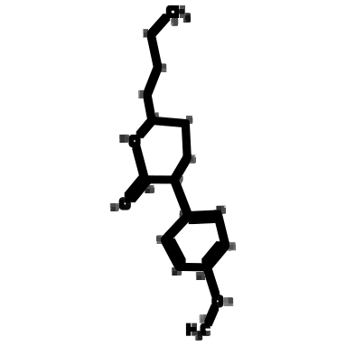 CCCCC1CCC(c2ccc(OC)cc2)C(=O)O1